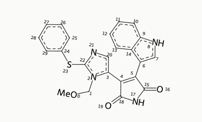 COCn1c(C2=C(c3c[nH]c4ccccc34)C(=O)NC2=O)cnc1Sc1ccccc1